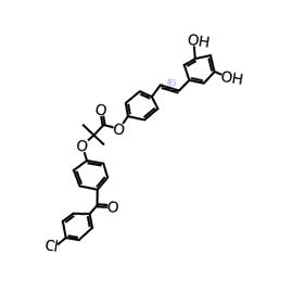 CC(C)(Oc1ccc(C(=O)c2ccc(Cl)cc2)cc1)C(=O)Oc1ccc(/C=C/c2cc(O)cc(O)c2)cc1